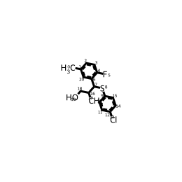 Cc1ccc(F)c(C(Sc2ccc(Cl)cc2)C(C)CO)c1